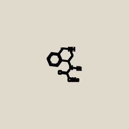 CCN(C(=O)OC)C1CN[CH]c2ccccc21